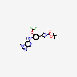 Cn1cnc2cnc(Nc3ccc(C4CN(C(=O)OC(C)(C)C)C4)cc3OC(F)F)cc21